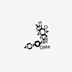 COc1cc(N2CCN(C)CC2)ccc1Nc1ncc2c(n1)N(C)C1=C(NC(C)S1)C(=O)N2C